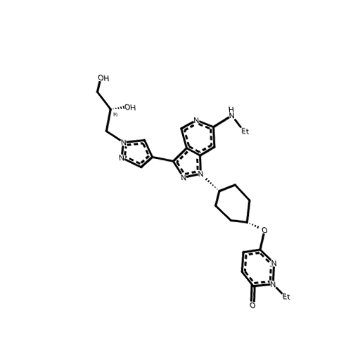 CCNc1cc2c(cn1)c(-c1cnn(C[C@@H](O)CO)c1)nn2[C@H]1CC[C@@H](Oc2ccc(=O)n(CC)n2)CC1